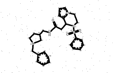 O=C(CC1c2cccn2CCN1S(=O)(=O)c1ccccc1)NCC1CCN(Cc2ccccc2)C1